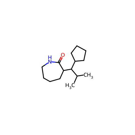 CC(C)C(C1CCCC1)C1CCCCNC1=O